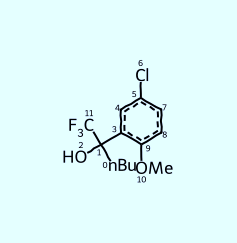 CCCCC(O)(c1cc(Cl)ccc1OC)C(F)(F)F